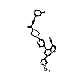 Cn1cc(-c2cc(-c3ccc(N4CCN(C(=O)C#Cc5cc(F)ccn5)CC4)nc3)c3c(C#N)cnn3c2)cn1